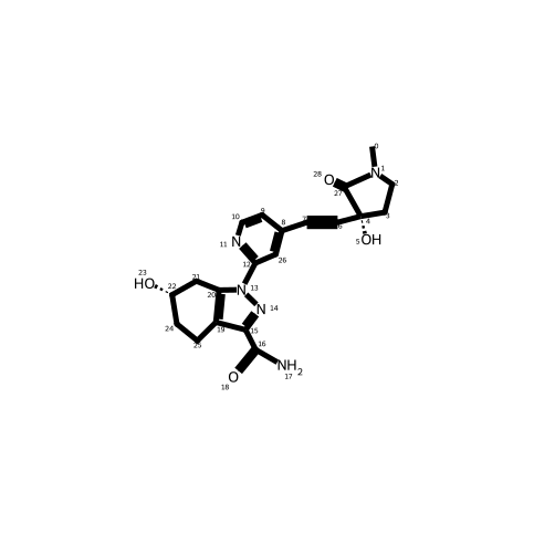 CN1CC[C@@](O)(C#Cc2ccnc(-n3nc(C(N)=O)c4c3C[C@@H](O)CC4)c2)C1=O